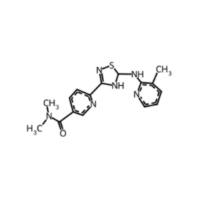 Cc1cccnc1NC1NC(c2ccc(C(=O)N(C)C)cn2)=NS1